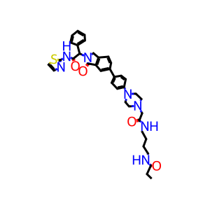 CCC(=O)NCCCCNC(=O)CN1CCN(c2ccc(-c3ccc4c(c3)C(=O)N(C(C(=O)Nc3nccs3)c3ccccc3)C4)cc2)CC1